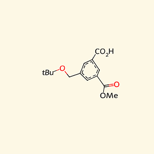 COC(=O)c1cc(COC(C)(C)C)cc(C(=O)O)c1